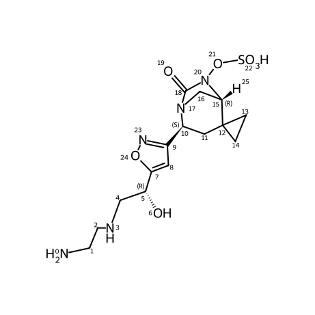 NCCNC[C@@H](O)c1cc([C@@H]2CC3(CC3)[C@@H]3CN2C(=O)N3OS(=O)(=O)O)no1